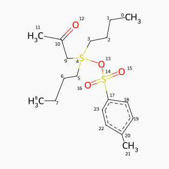 CCCCS(CCCC)(CC(C)=O)OS(=O)(=O)c1ccc(C)cc1